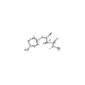 C[C@H](Cc1ccc(N)cc1)NC(=O)OC(C)(C)C